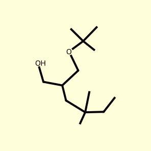 CCC(C)(C)CC(CO)COC(C)(C)C